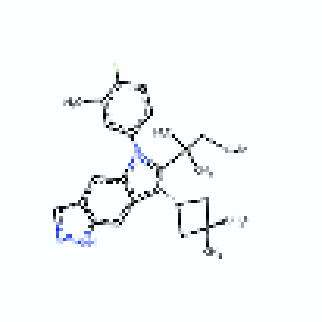 COCC(C)(C)c1c([C@H]2C[C@](C)(C(=O)O)C2)c2cc3[nH]ncc3cc2n1-c1ccc(F)c(C)c1